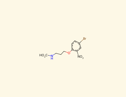 O=C(O)NCCCOc1ccc(Br)cc1[N+](=O)[O-]